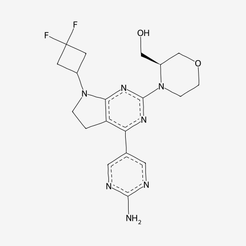 Nc1ncc(-c2nc(N3CCOC[C@@H]3CO)nc3c2CCN3C2CC(F)(F)C2)cn1